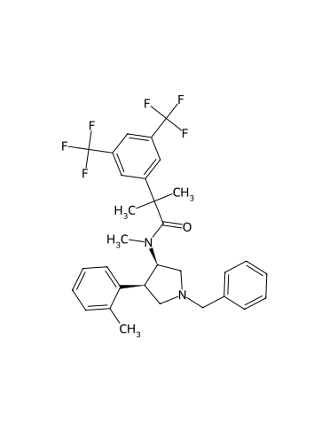 Cc1ccccc1[C@@H]1CN(Cc2ccccc2)C[C@@H]1N(C)C(=O)C(C)(C)c1cc(C(F)(F)F)cc(C(F)(F)F)c1